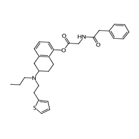 CCCN(CCc1cccs1)C1CCc2c(cccc2OC(=O)CNC(=O)Cc2ccccc2)C1